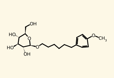 COc1ccc(CCCCCCO[C@@H]2O[C@H](CO)[C@@H](O)[C@H](O)[C@H]2O)cc1